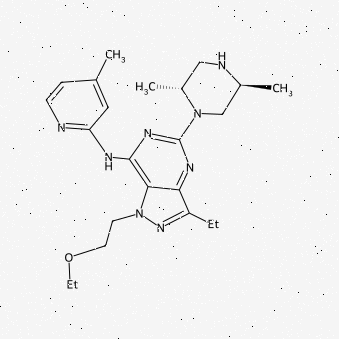 CCOCCn1nc(CC)c2nc(N3C[C@H](C)NC[C@H]3C)nc(Nc3cc(C)ccn3)c21